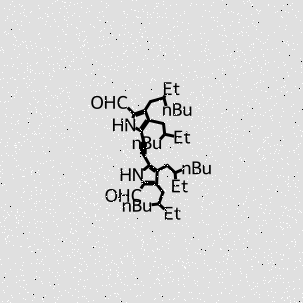 CCCCC(CC)Cc1c(C#Cc2[nH]c(C=O)c(CC(CC)CCCC)c2CC(CC)CCCC)[nH]c(C=O)c1CC(CC)CCCC